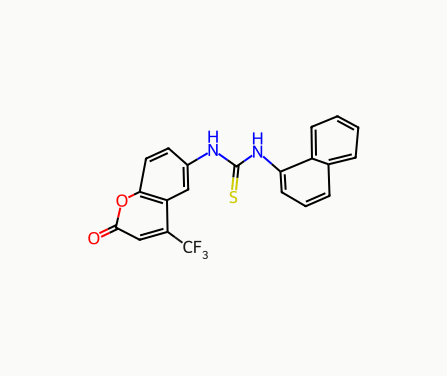 O=c1cc(C(F)(F)F)c2cc(NC(=S)Nc3cccc4ccccc34)ccc2o1